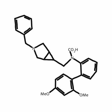 COc1ccc(-c2ccccc2N(CC2C3CN(Cc4ccccc4)CC32)C(=O)O)c(OC)c1